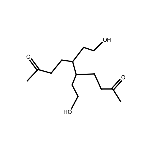 CC(=O)CCC(CCO)C(CCO)CCC(C)=O